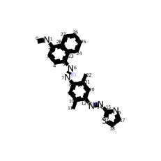 C=Nc1ccc(/N=N/c2cc(C)c(/N=N/c3nccs3)cc2C)c2ccccc12